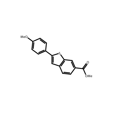 COC(=O)c1ccc2cc(-c3ccc(OC)cc3)sc2c1